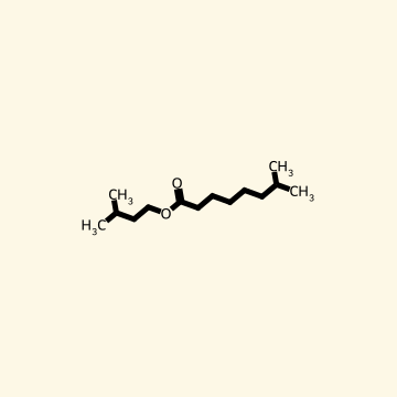 CC(C)CCCCCC(=O)OCCC(C)C